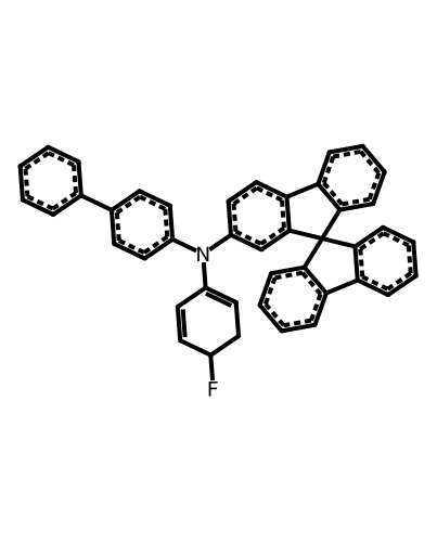 FC1C=CC(N(c2ccc(-c3ccccc3)cc2)c2ccc3c(c2)C2(c4ccccc4-c4ccccc42)c2ccccc2-3)=CC1